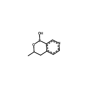 CC1Cc2ccncc2B(O)O1